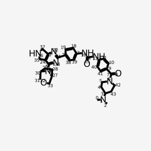 CN(C)C1CCN(C(=O)c2ccc(NC(=O)Nc3ccc(-c4nc5c(c(N6C7CCC6COC7)n4)CNC5)cc3)cc2)CC1